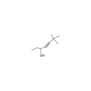 CCC(O)C#CC(C)(C)C